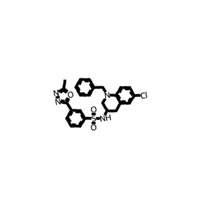 Cc1nnc(-c2cccc(S(=O)(=O)NC3Cc4cc(Cl)ccc4N(Cc4ccccc4)C3)c2)o1